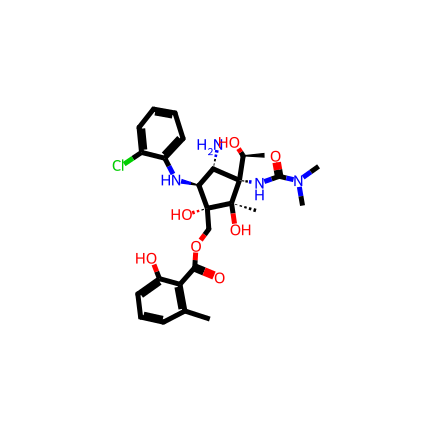 Cc1cccc(O)c1C(=O)OC[C@@]1(O)[C@@H](Nc2ccccc2Cl)[C@H](N)[C@@](NC(=O)N(C)C)([C@H](C)O)[C@@]1(C)O